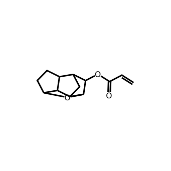 C=CC(=O)OC1C2CC3C1OC1CCC2C13